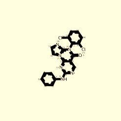 O=c1c2cnc(Nc3ccccc3)nc2n2ccnc2n1-c1c(Cl)cccc1Cl